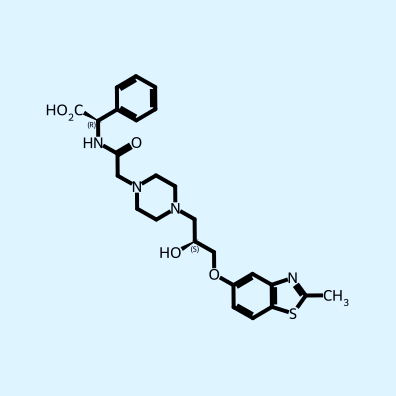 Cc1nc2cc(OC[C@@H](O)CN3CCN(CC(=O)N[C@@H](C(=O)O)c4ccccc4)CC3)ccc2s1